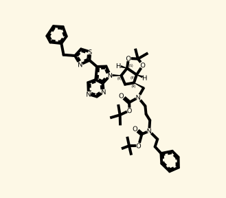 CC(C)(C)OC(=O)N(CCCN(C[C@H]1C[C@@H](n2cc(-c3nc(Cc4ccccc4)cs3)c3cncnc32)[C@@H]2OC(C)(C)O[C@H]12)C(=O)OC(C)(C)C)CCc1ccccc1